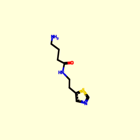 NCCCC(=O)NCCc1cncs1